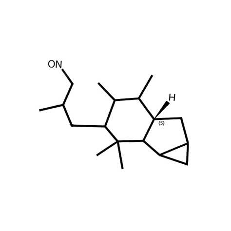 CC(CN=O)CC1C(C)C(C)[C@@H]2CC3CC3C2C1(C)C